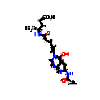 CC(C)(C)C(=O)Nc1cc2c(O)n(C#CCCC(=O)N[C@@H](CCC(=O)O)C(=O)O)cnc-2n1